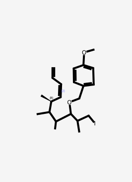 C=C/C=C\[C@H](C)C(C)C(C)C(OCc1ccc(OC)cc1)C(C)CI